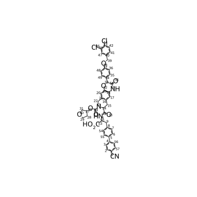 N#Cc1ccc(-c2ccc(C[C@H](NC(=O)[C@@H]3Cc4cc5c(cc4CN3C(=O)O[C@@H]3CCOC3)OC(c3ccc(OCc4ccc(Cl)c(Cl)c4)cc3)C(=O)N5)C(=O)O)cc2)cc1